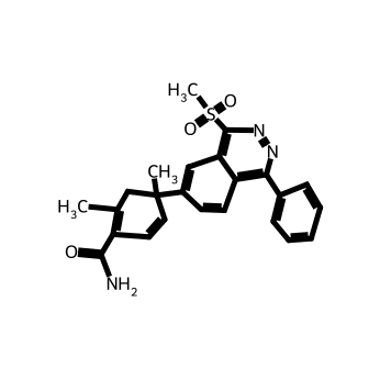 CC1=C(C(N)=O)C=CC(C)(c2ccc3c(-c4ccccc4)nnc(S(C)(=O)=O)c3c2)C1